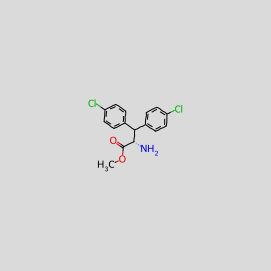 COC(=O)[C@@H](N)C(c1ccc(Cl)cc1)c1ccc(Cl)cc1